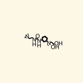 CN(C)CCNC(=O)Nc1cccc(N(C)CC(O)O)c1